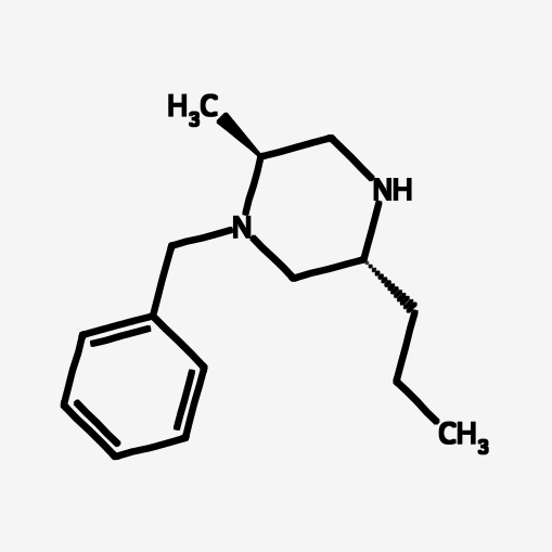 CCC[C@@H]1CN(Cc2ccccc2)[C@@H](C)CN1